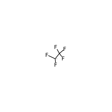 F[C](F)C(F)(F)F